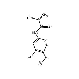 C[C@H](N)C(=O)Nc1ccc(CO)c(F)c1